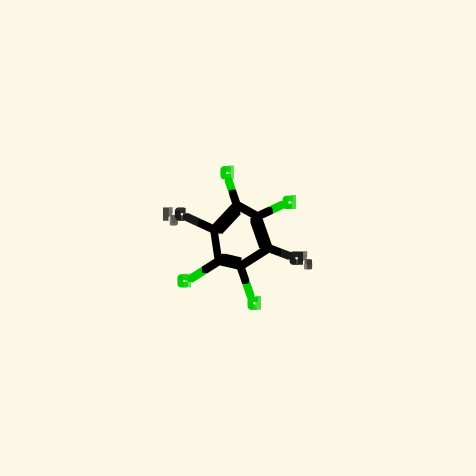 FC(F)(F)c1c(Cl)c(Cl)c(C(F)(F)F)c(Cl)c1Cl